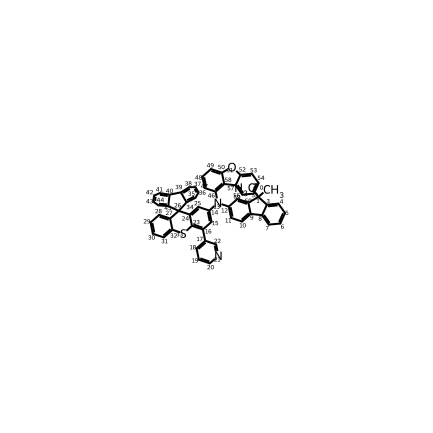 CC1(C)c2ccccc2-c2ccc(N(c3cc(-c4cccnc4)c4c(c3)C3(c5ccccc5S4)c4ccccc4-c4ccccc43)c3cccc4oc5ccccc5c34)cc21